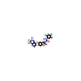 O=C1NCc2c(Oc3ccc4c(c3)C3[C@H](O4)N3C(=O)Nc3cc(F)c(F)cc3F)ccnc2N1